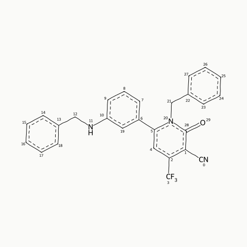 N#Cc1c(C(F)(F)F)cc(-c2cccc(NCc3ccccc3)c2)n(Cc2ccccc2)c1=O